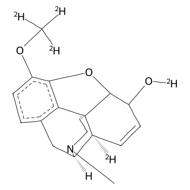 [2H]OC1C=C[C@@]2([2H])[C@H]3Cc4ccc(OC([2H])([2H])[2H])c5c4[C@@]2(CCN3C)C1O5